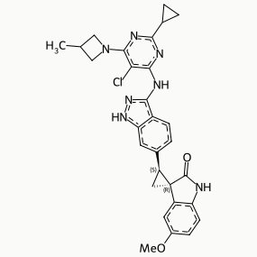 COc1ccc2c(c1)[C@]1(C[C@H]1c1ccc3c(Nc4nc(C5CC5)nc(N5CC(C)C5)c4Cl)n[nH]c3c1)C(=O)N2